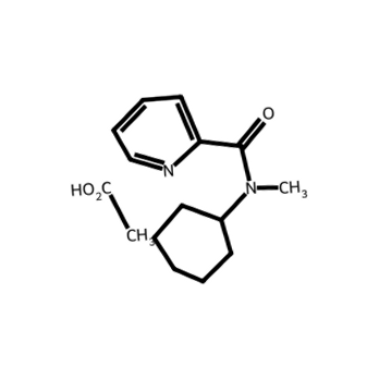 CC(=O)O.CN(C(=O)c1ccccn1)C1CCCCC1